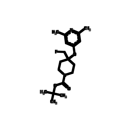 Cc1cc(OC2(CF)CCN(C(=O)OC(C)(C)C)CC2)cc(C)n1